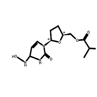 CC(C)C(=O)OC[C@@H]1CC[C@H](N2C=CC(NO)NC2=O)O1